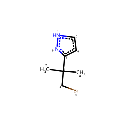 CC(C)(CBr)c1c[c][nH]n1